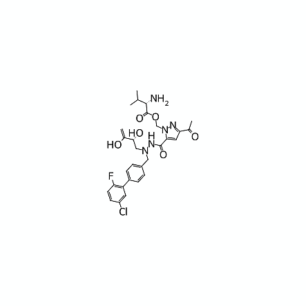 C=C(O)[C@H](O)CN(Cc1ccc(-c2cc(Cl)ccc2F)cc1)NC(=O)c1cc(C(C)=O)nn1COC(=O)[C@@H](N)C(C)C